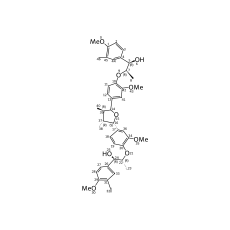 COc1ccc([C@@H](O)[C@@H](C)Oc2ccc(C3O[C@H](c4ccc(O[C@H](C)[C@H](O)c5ccc(OC)c(I)c5)c(OC)c4)[C@H](C)[C@H]3C)cc2OC)cc1C